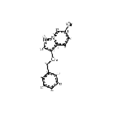 Brc1ccc2c(OCc3ccccc3)cnn2c1